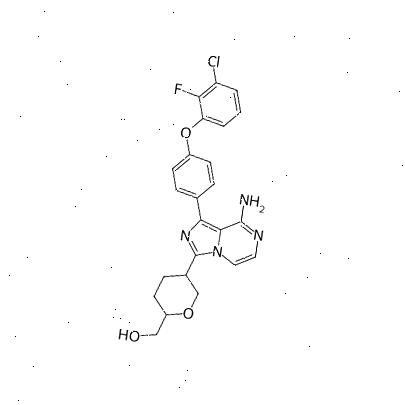 Nc1nccn2c(C3CCC(CO)OC3)nc(-c3ccc(Oc4cccc(Cl)c4F)cc3)c12